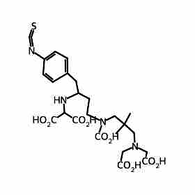 CC(C)(CN(CC(=O)O)CC(=O)O)CN(CCC(Cc1ccc(N=C=S)cc1)NC(C(=O)O)C(=O)O)C(=O)O